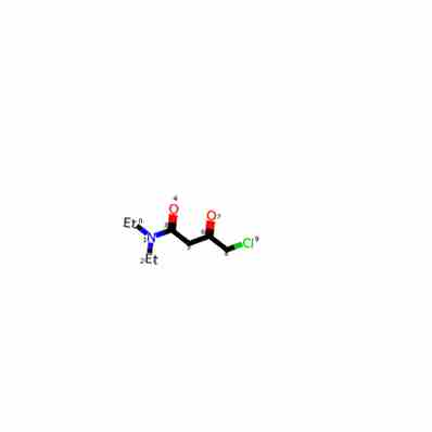 CCN(CC)C(=O)CC(=O)CCl